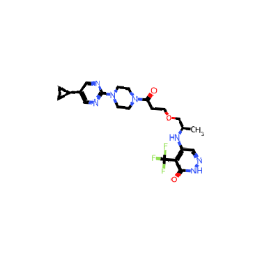 CC(COCCC(=O)N1CCN(c2ncc(C3CC3)cn2)CC1)Nc1cn[nH]c(=O)c1C(F)(F)F